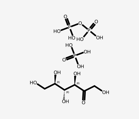 O=C(CO)[C@H](O)[C@H](O)[C@H](O)CO.O=P(O)(O)O.O=P(O)(O)OP(=O)(O)O